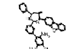 C=C1CC(c2ccccc2)NC(c2cccc(-c3cc(N)c(Cl)cc3N)c2)N=C1c1ccc2c(c1)oc1ccccc12